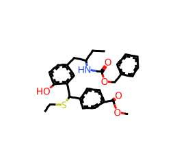 CCSC(c1ccc(C(=O)OC)cc1)c1cc(CC(CC)NC(=O)OCc2ccccc2)ccc1O